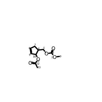 COC(=O)OCC1CC=CC1OC(C)=O